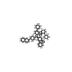 c1ccc(-c2cccc3c2oc2c(N(c4ccc(-c5ccc6ccccc6c5)cc4)c4ccc5oc6ccccc6c5c4)ccc(-c4ccccc4)c23)cc1